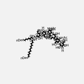 CCCCCCCCCCCCC/C=C/[C@@H](O)[C@H](CO[C@@H]1OC(CO)[C@@H](O[C@@H]2OC(CO)[C@H](O)[C@H](O[C@@H]3OC(CO)[C@@H](O[C@@H]4OC(CO)[C@H](O)[C@H](O[C@H]5OC(CO)[C@@H](O[C@@H]6OC(CO)[C@H](O)[C@H](O)C6O)[C@H](O)C5NC(C)=O)C4O)[C@H](O)C3NC(C)=O)C2O)[C@H](O)C1O)NC(=O)CCCCCCCCCCCCCCCCCCCCC